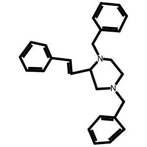 C(=CC1CN(Cc2ccccc2)CCN1Cc1ccccc1)c1ccccc1